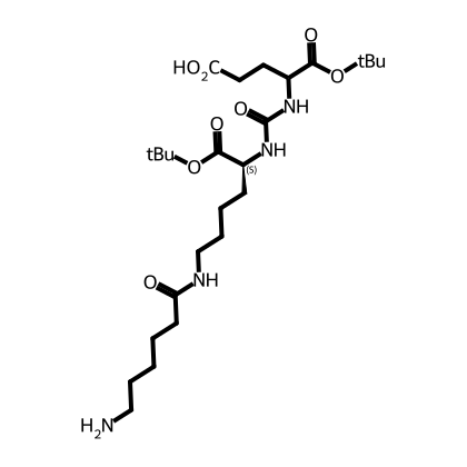 CC(C)(C)OC(=O)C(CCC(=O)O)NC(=O)N[C@@H](CCCCNC(=O)CCCCCN)C(=O)OC(C)(C)C